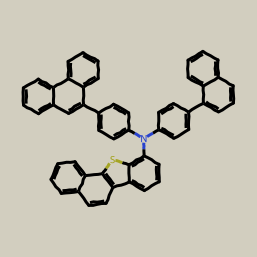 c1ccc2c(-c3ccc(N(c4ccc(-c5cc6ccccc6c6ccccc56)cc4)c4cccc5c4sc4c6ccccc6ccc54)cc3)cccc2c1